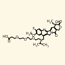 CC[C@@]1(O)C(=O)OCc2c1cc1n(c2=O)Cc2c-1nc1cc(F)c(OC)cc1c2CN(CCOCCOCCOCCC(=O)O)C(C)C